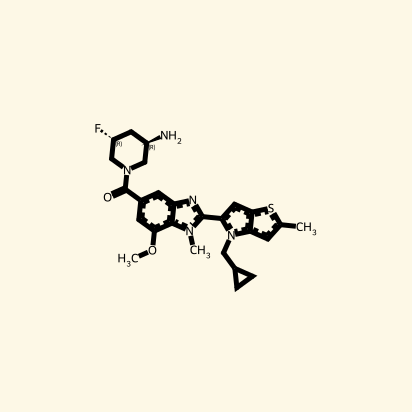 COc1cc(C(=O)N2C[C@H](N)C[C@@H](F)C2)cc2nc(-c3cc4sc(C)cc4n3CC3CC3)n(C)c12